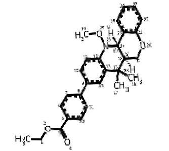 CCOC(=O)c1ccc(-c2ccc3c(c2)C(C)(C)[C@@H]2COc4ccccc4[C@H]2N3OC)cc1